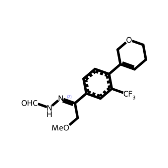 COC/C(=N\NC=O)c1ccc(C2=CCCOC2)c(C(F)(F)F)c1